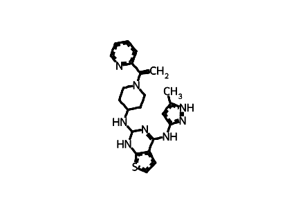 C=C(c1ccccn1)N1CCC(NC2N=C(Nc3cc(C)[nH]n3)c3ccsc3N2)CC1